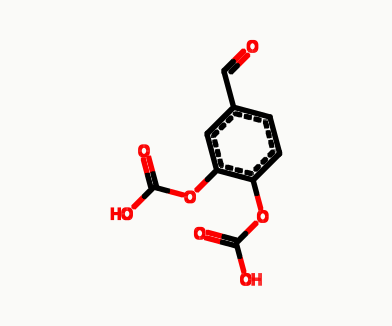 O=Cc1ccc(OC(=O)O)c(OC(=O)O)c1